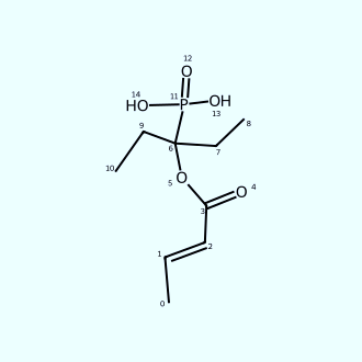 C/C=C/C(=O)OC(CC)(CC)P(=O)(O)O